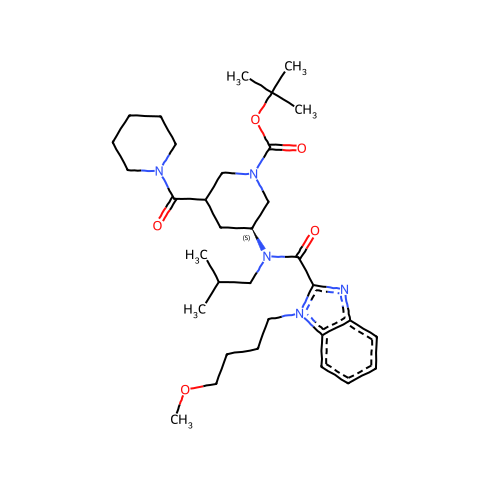 COCCCCn1c(C(=O)N(CC(C)C)[C@H]2CC(C(=O)N3CCCCC3)CN(C(=O)OC(C)(C)C)C2)nc2ccccc21